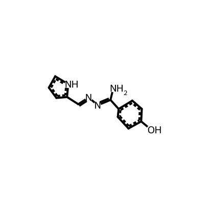 N/C(=N\N=C\c1ccc[nH]1)c1ccc(O)cc1